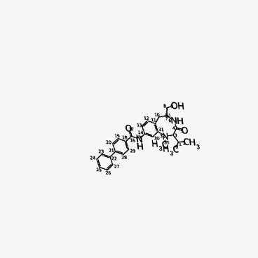 CC(C)C1C(=O)N[C@H](CO)Cc2ccc(NC(=O)c3ccc(-c4ccccc4)cc3)cc2N1C